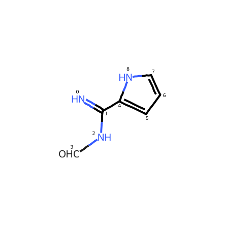 N=C(NC=O)c1ccc[nH]1